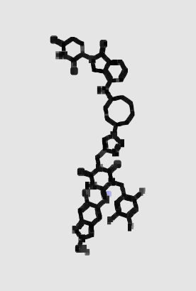 Cn1cc2cc(/N=c3\[nH]c(=O)n(Cc4cn(C5CCCCC(Nc6cccc7c6CN(C6CCC(=O)NC6=O)C7=O)CC5)nn4)c(=O)n3Cc3cc(F)c(F)cc3F)c(Cl)cc2n1